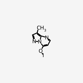 Cc1cnn2c(OI)ccnc12